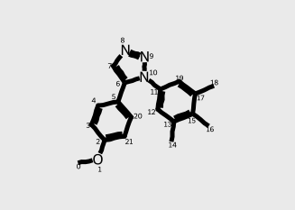 COc1ccc(-c2cnnn2-c2cc(C)c(C)c(C)c2)cc1